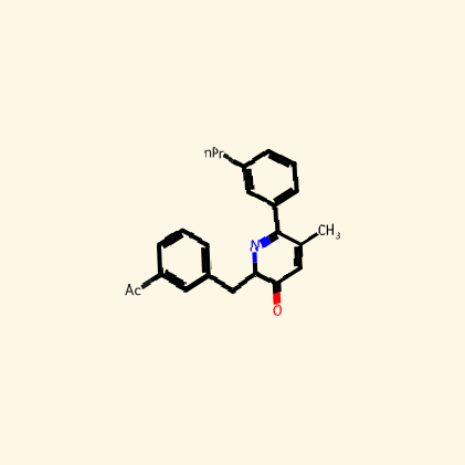 CCCc1cccc(C2=NC(Cc3cccc(C(C)=O)c3)C(=O)C=C2C)c1